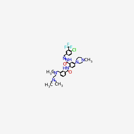 CCN(CC)CCN(C)Cc1cccc(C(=O)Nc2ccc(N3CCCN(C)CC3)cc2C(=O)N/N=C\c2ccc(Cl)c(C(F)(F)F)c2)c1